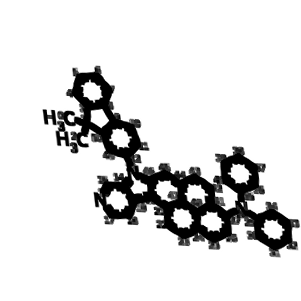 CC1(C)c2ccccc2-c2ccc(-n3c4cnccc4c4c5ccc6ccc(N(c7ccccc7)c7ccccc7)c7ccc(cc43)c5c67)cc21